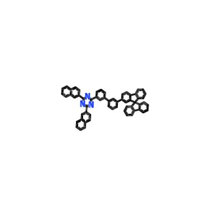 c1cc(-c2cccc(-c3nc(-c4ccc5ccccc5c4)nc(-c4ccc5ccccc5c4)n3)c2)cc(-c2ccc3c(c2)C2(c4ccccc4-c4ccccc42)c2ccccc2-3)c1